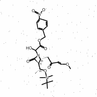 COC=CC(=O)C[C@@H]1[C@@H]([C@@H](C)O[Si](C)(C)C(C)(C)C)C(=O)N1C(O)C(=O)OCc1ccc([N+](=O)[O-])cc1